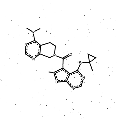 Cc1oc2ncnc(NC3(C)CC3)c2c1C(=O)N1CCc2c(ncnc2N(C)C)C1